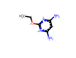 CCOc1nc(N)cc(N)n1